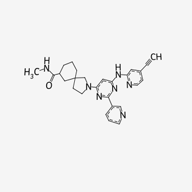 C#Cc1ccnc(Nc2cc(N3CCC4(CCCC(C(=O)NC)C4)C3)nc(-c3cccnc3)n2)c1